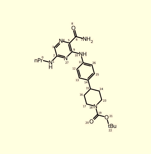 CCCNc1cnc(C(N)=O)c(Nc2ccc(C3CCN(C(=O)OC(C)(C)C)CC3)cc2)n1